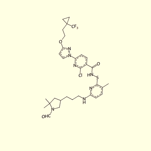 Cc1ccc(NCCCC2CN(C=O)C(C)(C)C2)nc1SNC(=O)c1ccc(-n2ccc(OCCC3(C(F)(F)F)CC3)n2)nc1Cl